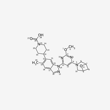 COc1nc(N2CC3CC(C2)O3)cc(-n2ncc3cc(C)c(C4CCN(C(=O)O)CC4)cc32)n1